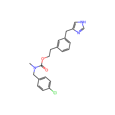 CN(Cc1ccc(Cl)cc1)C(=O)OCCc1cccc(Cc2c[nH]cn2)c1